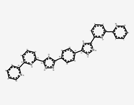 c1ccc(-c2cccc(-c3nnc(-c4ccc(-c5nnc(-c6cccc(-c7ccccn7)n6)s5)cc4)s3)n2)nc1